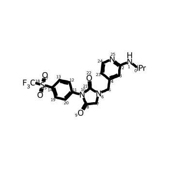 CC(C)Nc1cc(CN2CC(=O)N(c3ccc(S(=O)(=O)C(F)(F)F)cc3)C2=O)ccn1